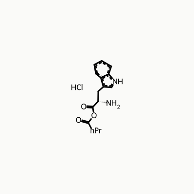 CCCC(=O)OC(=O)[C@@H](N)Cc1c[nH]c2ccccc12.Cl